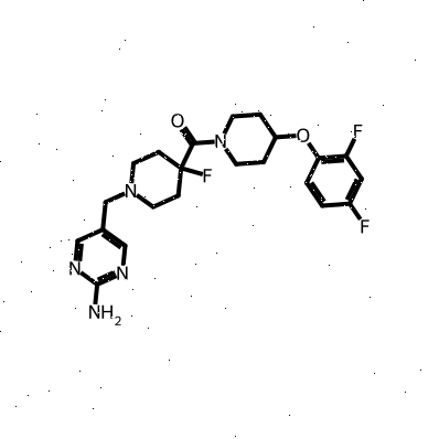 Nc1ncc(CN2CCC(F)(C(=O)N3CCC(Oc4ccc(F)cc4F)CC3)CC2)cn1